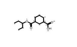 CCC(CC)OC(=O)C1CCCC(C(=O)O)C1